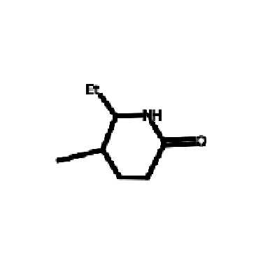 CCC1NC(=O)CCC1C